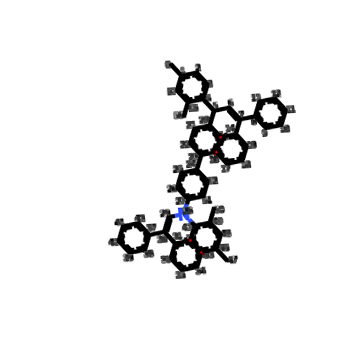 Cc1ccc(C(C=C(c2ccccc2)c2ccccc2)c2ccc(-c3ccc(N(C=C(c4ccccc4)c4ccccc4)c4ccc(C)cc4C)cc3)cc2)c(C)c1